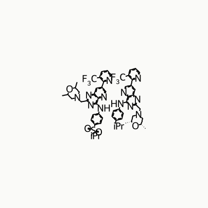 CC(C)c1ccc(Nc2nc(CN3C[C@@H](C)O[C@@H](C)C3)nc3cc(-c4ncccc4C(F)(F)F)cnc23)cc1.CC1CN(Cc2nc(Nc3ccc(S(=O)(=O)C(C)C)cc3)c3ncc(-c4ncccc4C(F)(F)F)cc3n2)CC(C)O1